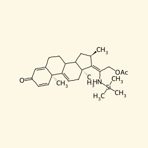 CC(=O)OC/C(N[Si](C)(C)C)=C1\[C@H](C)CC2C3CCC4=CC(=O)C=C[C@]4(C)C3=CC[C@]12C